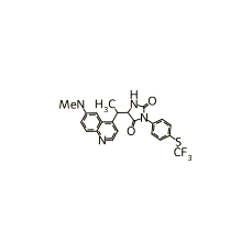 CNc1ccc2nccc(C(C)C3NC(=O)N(c4ccc(SC(F)(F)F)cc4)C3=O)c2c1